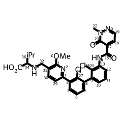 COc1nc(-c2cccc(-c3cccc(NC(=O)c4ccnn(C)c4=O)c3Cl)c2Cl)ccc1CNC(C(=O)O)C(C)C